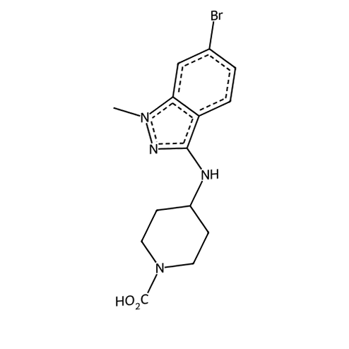 Cn1nc(NC2CCN(C(=O)O)CC2)c2ccc(Br)cc21